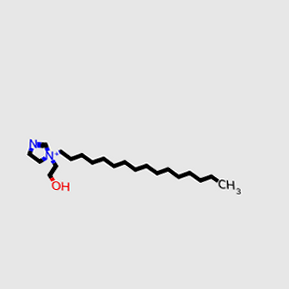 CCCCCCCCCCCCCCCC[N+]1(CCO)C=NCC1